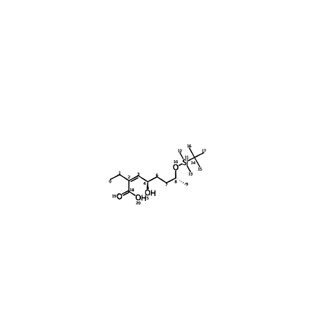 CCC(=C[C@H](O)CC[C@@H](C)O[Si](C)(C)C(C)(C)C)C(=O)O